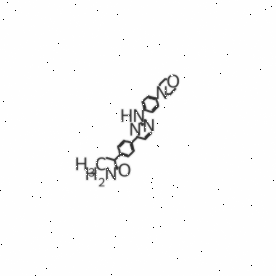 CCC(C(N)=O)c1ccc(-c2ccnc(Nc3ccc(N4CCOCC4)cc3)n2)cc1